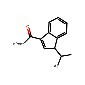 CCCCCC(=O)C1=CC(C(C)C(C)=O)c2ccccc21